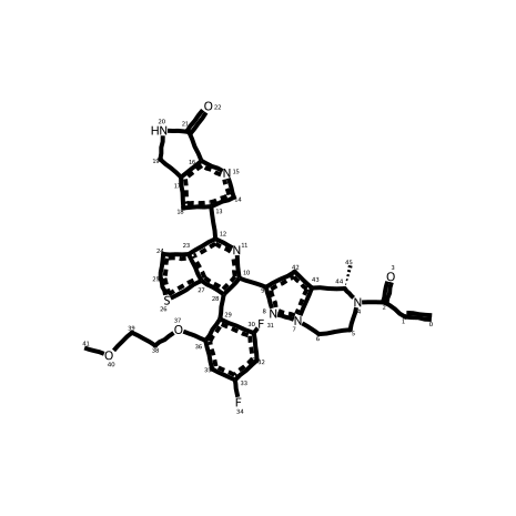 C=CC(=O)N1CCn2nc(-c3nc(-c4cnc5c(c4)CNC5=O)c4ccsc4c3-c3c(F)cc(F)cc3OCCOC)cc2[C@@H]1C